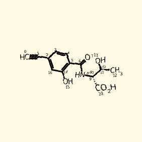 C#Cc1ccc(C(=O)N[C@@H](C(=O)O)[C@H](C)O)c(O)c1